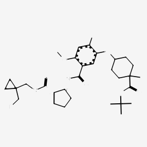 COc1cc(F)c(OC2CCC(C)(C(=O)OC(C)(C)C)CC2)cc1C(=O)N[C@@H]1CCC[C@@H]1C(=O)NCC1(CF)CC1